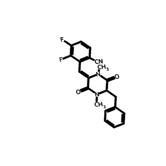 CN1C(=O)C(Cc2ccccc2)N(C)C(=O)/C1=C/c1c(C#N)ccc(F)c1F